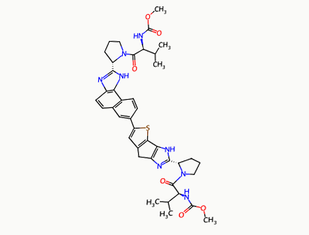 COC(=O)N[C@H](C(=O)N1CCC[C@H]1c1nc2c([nH]1)-c1sc(-c3ccc4c(ccc5nc([C@@H]6CCCN6C(=O)[C@@H](NC(=O)OC)C(C)C)[nH]c54)c3)cc1C2)C(C)C